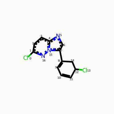 Clc1ccc2ncc(C3=CC=CC(Cl)C3)n2n1